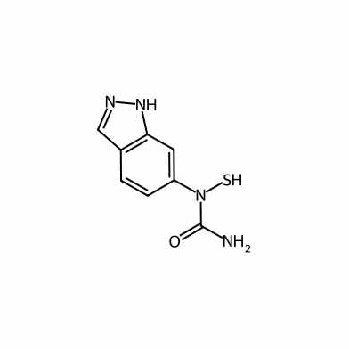 NC(=O)N(S)c1ccc2cn[nH]c2c1